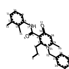 CCCc1c(C(=O)Nc2cccc(C)c2C)c(=O)cc(C)n1Cc1ccncc1